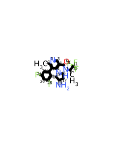 Cc1ncc(C(=O)N[C@@H](C)C(F)(F)F)c(N2CC[C@H](N)C2)c1-c1cc(F)cc(F)c1